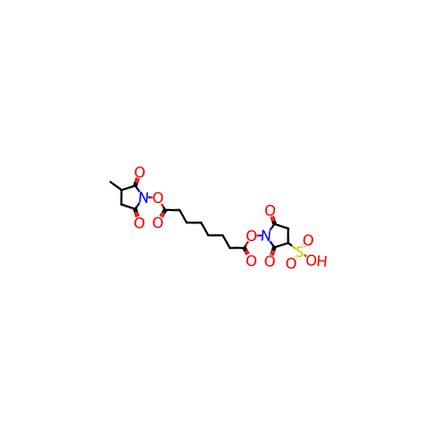 CC1CC(=O)N(OC(=O)CCCCCCC(=O)ON2C(=O)CC(S(=O)(=O)O)C2=O)C1=O